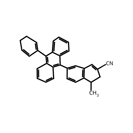 CC1CC(C#N)=Cc2cc(-c3c4ccccc4c(C4=CCCC=C4)c4ccccc34)ccc21